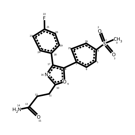 CS(=O)(=O)c1ccc(-c2oc(CCC(N)=O)nc2-c2ccc(F)cc2)cc1